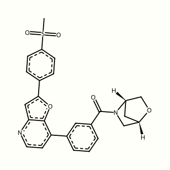 CS(=O)(=O)c1ccc(-c2cc3nccc(-c4cccc(C(=O)N5C[C@@H]6C[C@H]5CO6)c4)c3o2)cc1